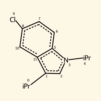 CC(C)c1cn(C(C)C)c2ccc(Cl)cc12